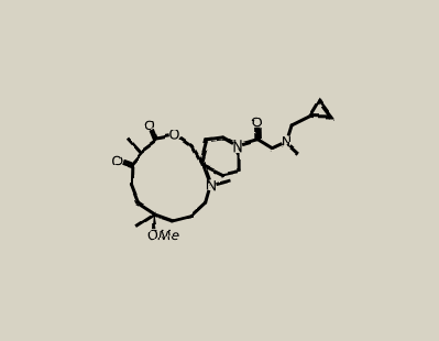 CO[C@]1(C)CCCN(C)C2(CCN(C(=O)CN(C)CC3CC3)CC2)COC(=O)C(C)C(=O)CC1